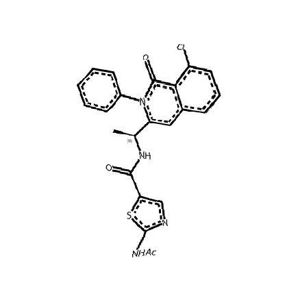 CC(=O)Nc1ncc(C(=O)N[C@@H](C)c2cc3cccc(Cl)c3c(=O)n2-c2ccccc2)s1